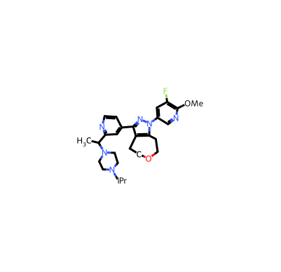 COc1ncc(-n2nc(-c3ccnc(C(C)N4CCN(C(C)C)CC4)c3)c3c2CCOCC3)cc1F